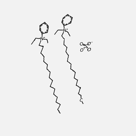 CCCCCCCCCCCCCCCCCC[N+](CC)(CC)c1ccccc1.CCCCCCCCCCCCCCCCCC[N+](CC)(CC)c1ccccc1.O=S(=O)([O-])[O-]